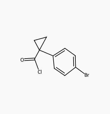 O=C(Cl)C1(c2ccc(Br)cc2)CC1